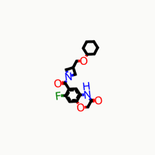 O=C1COc2cc(F)c(C(=O)N3CC(COC4CCCCC4)C3)cc2N1